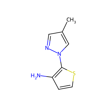 Cc1cnn(-c2sccc2N)c1